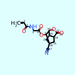 C=CC(=O)NCC(=O)OC1C2OC(=O)C3CC1(C#N)CC32